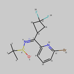 CC(C)(C)[S+]([O-])/N=C(\c1cccc(Br)n1)C1CC(F)(F)C1